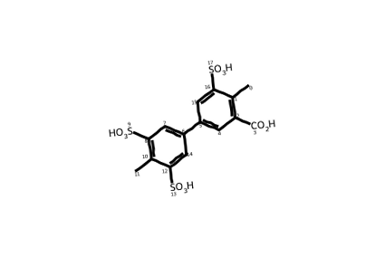 Cc1c(C(=O)O)cc(-c2cc(S(=O)(=O)O)c(C)c(S(=O)(=O)O)c2)cc1S(=O)(=O)O